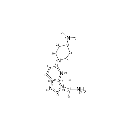 CN(C)C1CCN(c2ccc3ncn(C(C)(C)N)c3n2)CC1